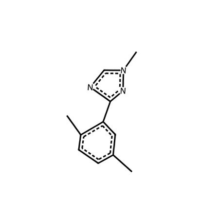 Cc1ccc(C)c(-c2ncn(C)n2)c1